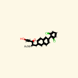 CC(=O)NC(Cc1ccc2cc(-c3c(Cl)cccc3Cl)ccc2c1)C(=O)C#CO